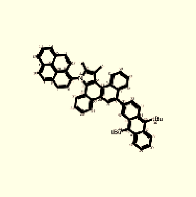 Cc1c(C)n(-c2ccc3ccc4cccc5ccc2c3c45)c2c3ccccc3c3cc(-c4ccc5c(C(C)(C)C)c6ccccc6c(C(C)(C)C)c5c4)c4ccccc4c3c12